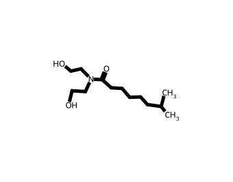 CC(C)CCCCCC(=O)N(CCO)CCO